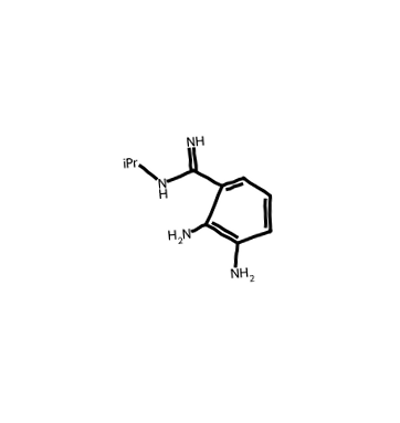 CC(C)NC(=N)c1cccc(N)c1N